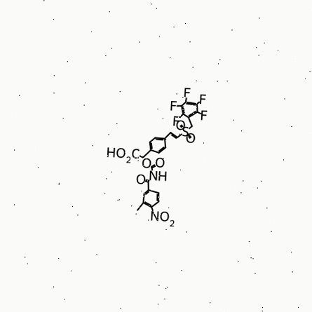 Cc1cc(C(=O)NC(=O)OC(C(=O)O)c2ccc(C=CS(=O)(=O)Cc3c(F)c(F)c(F)c(F)c3F)cc2)ccc1[N+](=O)[O-]